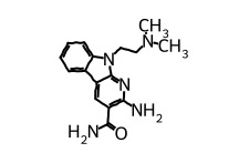 CN(C)CCn1c2ccccc2c2cc(C(N)=O)c(N)nc21